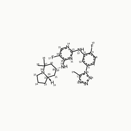 Cc1nnnn1-c1ccc(F)c(Nc2ncc(F)c(N[C@@H]3C[C@@H]4CCCN4C(C)(C)C3)n2)c1